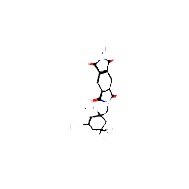 CC1CC(C)(C)CC(C)(CN2C(=O)C3CC4C(=O)N(C)C(=O)C4CC3C2=O)C1